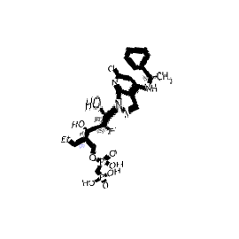 CC/C=C(/COP(=O)(O)CP(=O)(O)O)[C@@H](O)[C@H](F)[C@@H](O)n1ncc2c(N[C@@H](C)c3ccccc3)cc(Cl)nc21